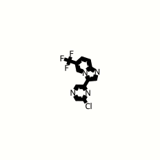 FC(F)(F)c1ccc2ncc(-c3cncc(Cl)n3)n2c1